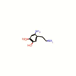 NCCc1cc(O)c(O)cc1N